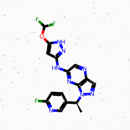 C[C@@H](c1ccc(F)nc1)n1ncc2ncc(Nc3cc(OC(F)F)[nH]n3)nc21